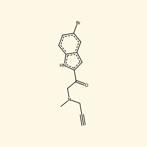 C#CCN(C)CC(=O)c1cc2cc(Br)ccc2[nH]1